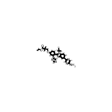 CCOC(=O)C(C)(C)COc1ccc(-c2nc3cc(-c4cnc(N)cn4)ccc3n2C(C)(C)C)c(-n2cncn2)c1